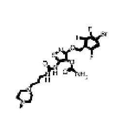 CN1CCN(CCCNC(=O)Nc2snc(OCc3c(F)cc(Br)c(F)c3F)c2OC(N)=O)CC1